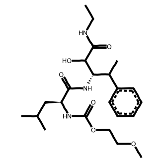 CCNC(=O)C(O)[C@@H](NC(=O)[C@H](CC(C)C)NC(=O)OCCOC)C(C)c1ccccc1